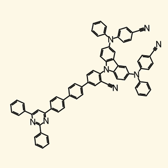 N#Cc1ccc(N(c2ccccc2)c2ccc3c(c2)c2cc(N(c4ccccc4)c4ccc(C#N)cc4)ccc2n3-c2ccc(-c3ccc(-c4ccc(-c5cc(-c6ccccc6)nc(-c6ccccc6)n5)cc4)cc3)cc2C#N)cc1